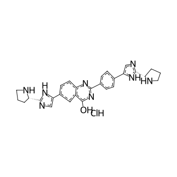 Cl.Oc1nc(-c2ccc(-c3cnc([C@@H]4CCCN4)[nH]3)cc2)nc2ccc(-c3cnc([C@@H]4CCCN4)[nH]3)cc12